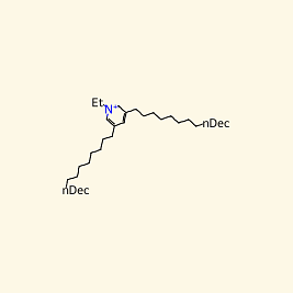 CCCCCCCCCCCCCCCCCCc1cc(CCCCCCCCCCCCCCCCCC)c[n+](CC)c1